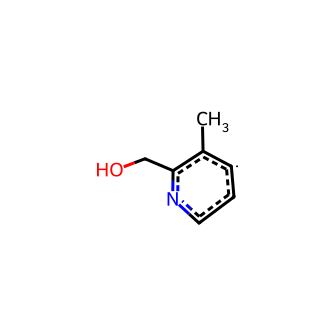 Cc1[c]ccnc1CO